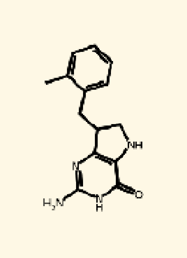 Cc1ccccc1CC1CNc2c1nc(N)[nH]c2=O